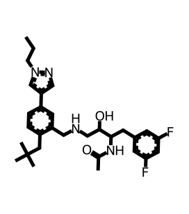 CCCn1cc(-c2ccc(CC(C)(C)C)c(CNCC(O)C(Cc3cc(F)cc(F)c3)NC(C)=O)c2)cn1